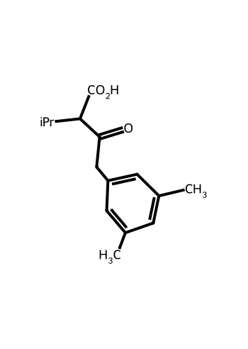 Cc1cc(C)cc(CC(=O)C(C(=O)O)C(C)C)c1